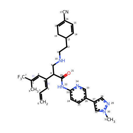 C=C/C=C(\C=C(/C)C(F)(F)F)C(CNCCC1C=CC(C#N)=CC1)C(=O)Nc1ccc(-c2cnn(C)c2)cn1